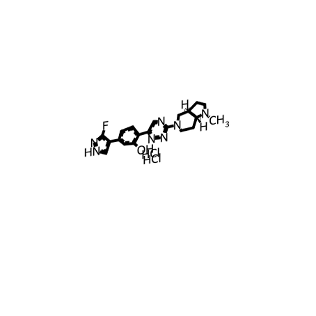 CN1CC[C@H]2CN(c3ncc(-c4ccc(-c5c[nH]nc5F)cc4O)nn3)CC[C@H]21.Cl.Cl